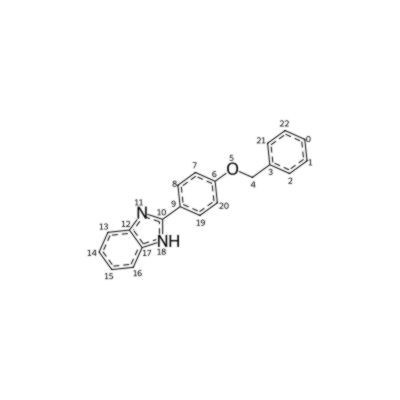 c1ccc(COc2ccc(-c3nc4ccccc4[nH]3)cc2)cc1